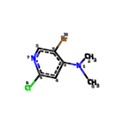 CN(C)c1cc(Cl)ncc1Br